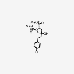 CO[PH](=O)OCC(O)(CCc1ccc(Cl)cc1)CO[PH](=O)OC